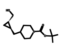 CC(C)(C)OC(=O)N1CCC(C[C@H]2C[C@@H]2CO)CC1